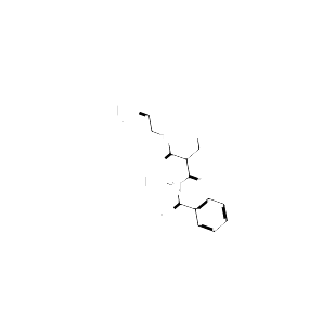 C=CCOC(=O)C(CC)C(=O)N(C)C(=O)c1ccccc1